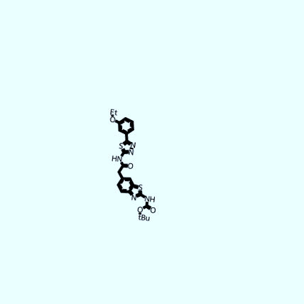 CCOc1cccc(-c2nnc(NC(=O)Cc3ccc4nc(NC(=O)OC(C)(C)C)sc4c3)s2)c1